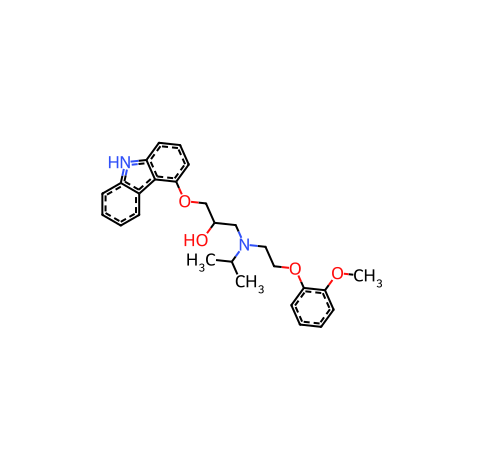 COc1ccccc1OCCN(CC(O)COc1cccc2[nH]c3ccccc3c12)C(C)C